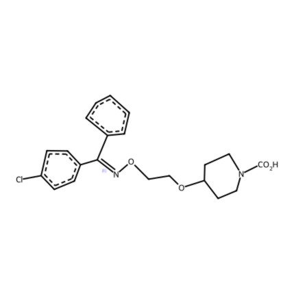 O=C(O)N1CCC(OCCO/N=C(\c2ccccc2)c2ccc(Cl)cc2)CC1